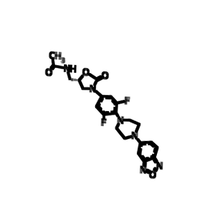 CC(=O)NC[C@H]1CN(c2cc(F)c(N3CCN(c4ccc5nonc5c4)CC3)c(F)c2)C(=O)O1